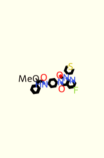 CO[C@@H](C(=O)NC1CCC(n2c(=O)c3cc(F)cnc3n(C3CCSCC3)c2=O)CC1)c1ccccc1